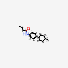 CCCC(=O)Nc1ccc(C2CCC(C)CC2)cc1